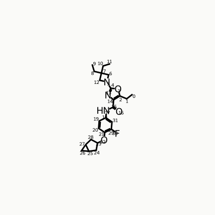 CCc1oc(N2CC(CC)(CC)C2)nc1C(=O)Nc1ccc(OC2CC3CC3C2)c(F)c1